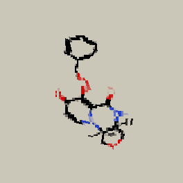 O=C1N[C@@H]2COC[C@@H]2n2ccc(=O)c(OCc3ccccc3)c21